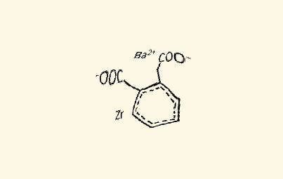 O=C([O-])c1ccccc1C(=O)[O-].[Ba+2].[Zr]